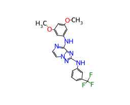 COc1cc(Nc2nccn3nc(Nc4cccc(C(F)(F)F)c4)nc23)cc(OC)c1